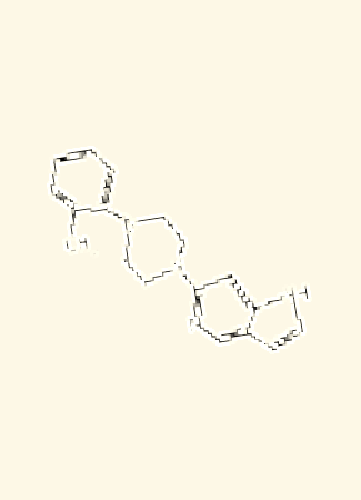 Cc1ccccc1N1CCN(c2cc3[nH]ccc3cn2)CC1